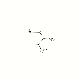 [CH2]CC(C)CC(C)CCCCC